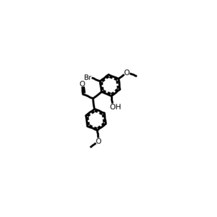 COc1ccc(C(C=O)c2c(O)cc(OC)cc2Br)cc1